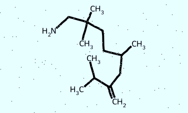 C=C(CC(C)CCC(C)(C)CN)C(C)C